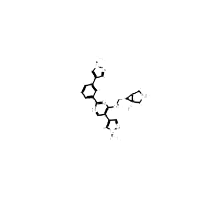 Cn1cc(-c2cccc(-c3ncc(-c4cnn(C)c4)c(NC[C@H]4C5CNC[C@H]54)n3)c2)cn1